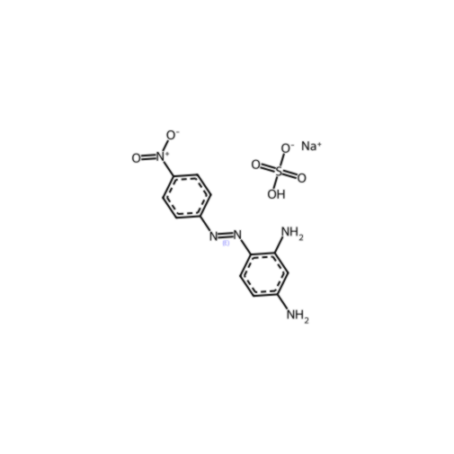 Nc1ccc(/N=N/c2ccc([N+](=O)[O-])cc2)c(N)c1.O=S(=O)([O-])O.[Na+]